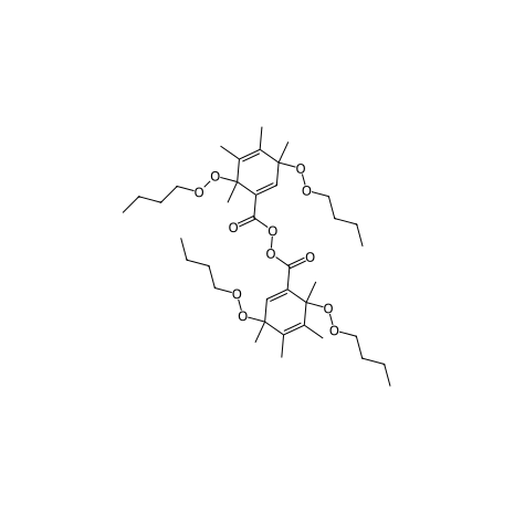 CCCCOOC1(C)C=C(C(=O)OOC(=O)C2=CC(C)(OOCCCC)C(C)=C(C)C2(C)OOCCCC)C(C)(OOCCCC)C(C)=C1C